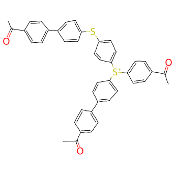 CC(=O)c1ccc(-c2ccc(Sc3ccc([S+](c4ccc(C(C)=O)cc4)c4ccc(-c5ccc(C(C)=O)cc5)cc4)cc3)cc2)cc1